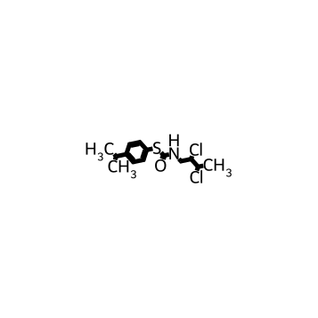 CC(C)c1ccc(SC(=O)NCC(Cl)C(C)Cl)cc1